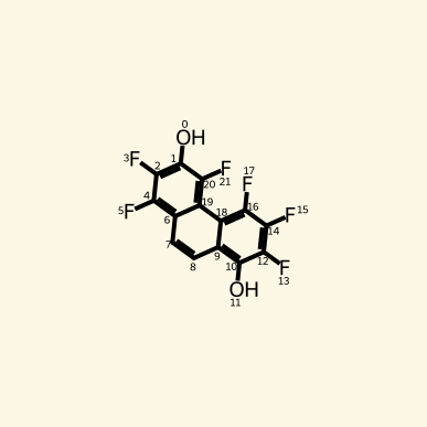 Oc1c(F)c(F)c2ccc3c(O)c(F)c(F)c(F)c3c2c1F